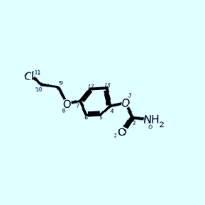 NC(=O)Oc1ccc(OCCCl)cc1